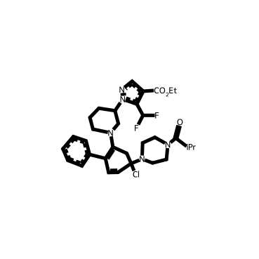 CCOC(=O)c1cnn(C2CCCN(C3=C(c4ccccc4)C=CC(Cl)(N4CCN(C(=O)C(C)C)CC4)C3)C2)c1C(F)F